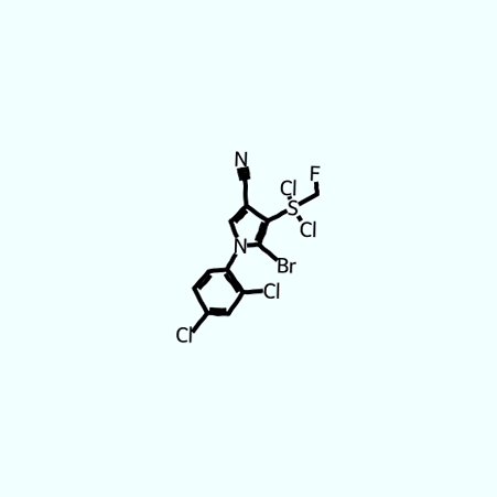 N#Cc1cn(-c2ccc(Cl)cc2Cl)c(Br)c1S(Cl)(Cl)CF